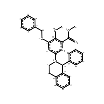 COC(=O)c1nc(N2CCc3ccccc3C2c2ccccc2)nc(OCc2ccccc2)c1OC